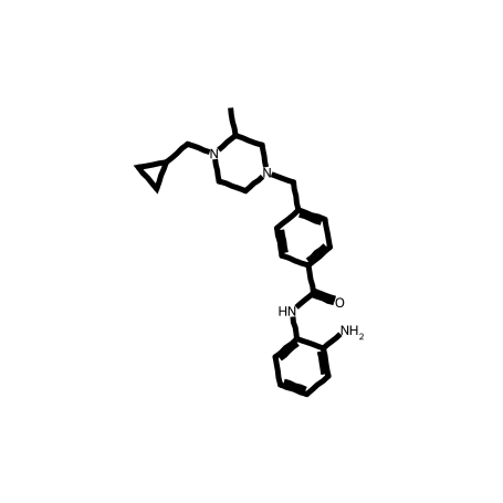 CC1CN(Cc2ccc(C(=O)Nc3ccccc3N)cc2)CCN1CC1CC1